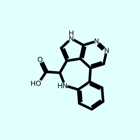 O=C(O)C1Nc2ccccc2-c2cnnc3[nH]cc1c23